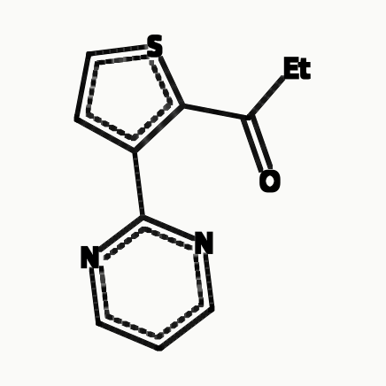 CCC(=O)c1sccc1-c1ncccn1